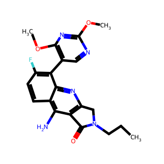 CCCN1Cc2nc3c(-c4cnc(OC)nc4OC)c(F)ccc3c(N)c2C1=O